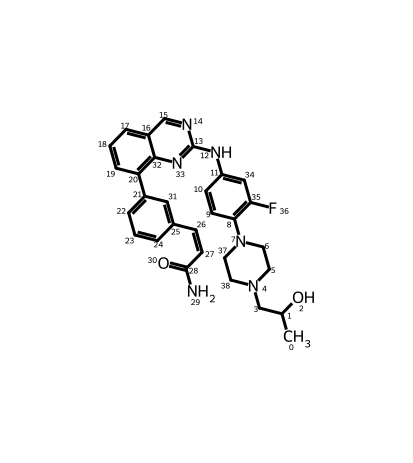 CC(O)CN1CCN(c2ccc(Nc3ncc4cccc(-c5cccc(C=CC(N)=O)c5)c4n3)cc2F)CC1